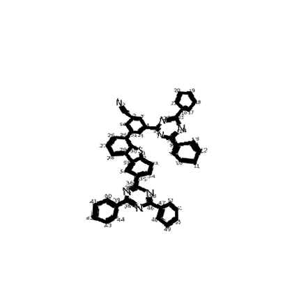 N#Cc1cc(-c2nc(-c3ccccc3)nc(-c3ccccc3)n2)cc(-c2cccc3c2sc2ccc(-c4nc(-c5ccccc5)nc(-c5ccccc5)n4)cc23)c1